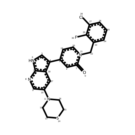 O=c1cc(-c2c[nH]c3ncc(N4CCSCC4)cc23)ccn1Cc1cccc(Cl)c1F